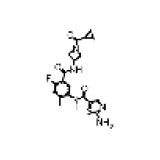 Cc1cc(F)c(C(=O)NC2CN(C(=O)C3CC3)C2)cc1NC(=O)c1cnc(N)s1